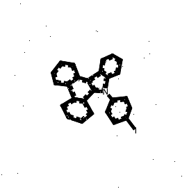 Ic1ccc(-n2c3ccccc3c3c4ccccc4c4ccccc4c32)cc1